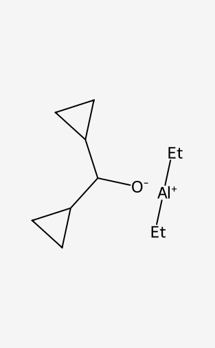 C[CH2][Al+][CH2]C.[O-]C(C1CC1)C1CC1